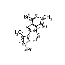 Cc1nn(C(C)C)cc1-c1cc2c(Br)cn(C)c(=O)c2n1SI